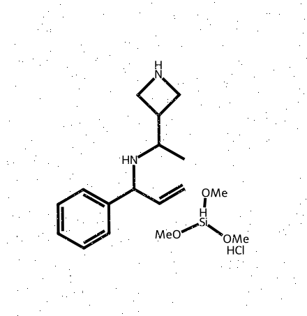 C=CC(NC(C)C1CNC1)c1ccccc1.CO[SiH](OC)OC.Cl